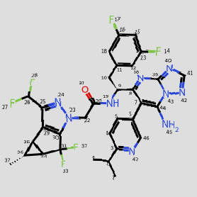 CC(C)c1ccc(-c2c([C@H](Cc3cc(F)cc(F)c3)NC(=O)Cn3nc(C(F)F)c4c3C(F)(F)C3C4[C@H]3C)nc3ncnn3c2N)cn1